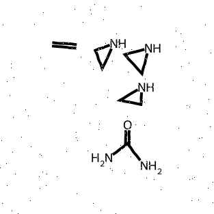 C1CN1.C1CN1.C1CN1.C=C.NC(N)=O